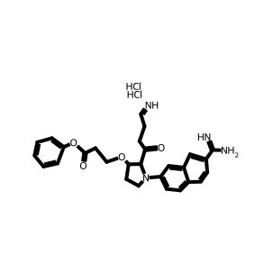 Cl.Cl.N=CCCC(=O)C1C(OCCC(=O)Oc2ccccc2)CCN1c1ccc2ccc(C(=N)N)cc2c1